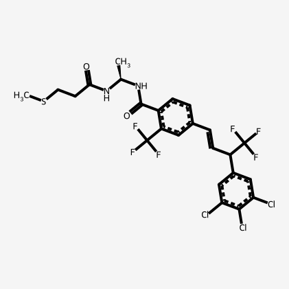 CSCCC(=O)N[C@@H](C)NC(=O)c1ccc(/C=C/C(c2cc(Cl)c(Cl)c(Cl)c2)C(F)(F)F)cc1C(F)(F)F